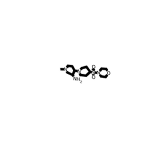 CN1CCC(N2CCC(S(=O)(=O)N3CCOCC3)CC2)C(N)C1